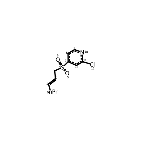 CCCC=CCS(=O)(=O)c1ccnc(Cl)c1